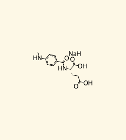 CNc1ccc(C(=O)N[C@@H](CCC(=O)O)C(=O)O)cc1.[NaH]